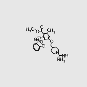 CCOC(=O)c1c(C)cc(OCC2CCN(C(=N)N)CC2)cc1OS(=O)(=O)c1ccccc1Cl